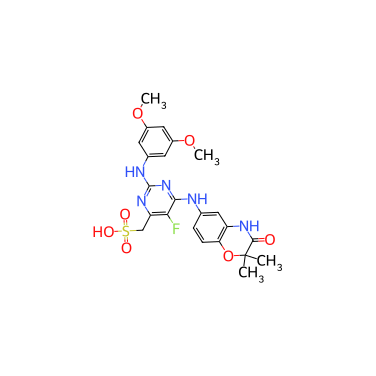 COc1cc(Nc2nc(CS(=O)(=O)O)c(F)c(Nc3ccc4c(c3)NC(=O)C(C)(C)O4)n2)cc(OC)c1